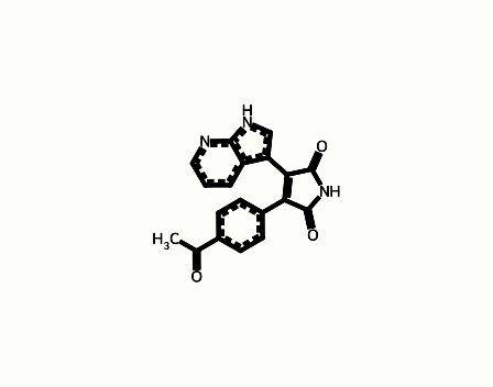 CC(=O)c1ccc(C2=C(c3c[nH]c4ncccc34)C(=O)NC2=O)cc1